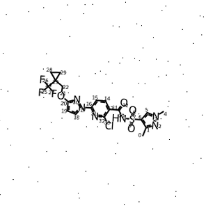 Cc1nn(C)cc1S(=O)(=O)NC(=O)c1ccc(-n2ccc(OCC3(C(F)(F)F)CC3)n2)nc1Cl